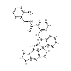 O=C(NCc1ccccc1C(F)(F)F)c1ccccc1CN1C(=O)C2(COc3cc4c(cc32)OCO4)c2ccccc21